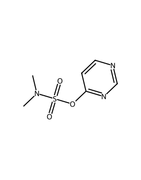 CN(C)S(=O)(=O)Oc1ccncn1